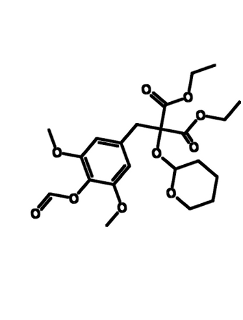 CCOC(=O)C(Cc1cc(OC)c(OC=O)c(OC)c1)(OC1CCCCO1)C(=O)OCC